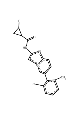 Cc1cccc(Cl)c1-c1ccc2nc(NC(=O)C3CC3F)cn2c1